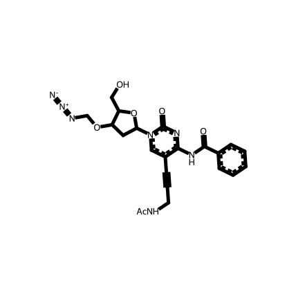 CC(=O)NCC#Cc1cn(C2CC(OCN=[N+]=[N-])C(CO)O2)c(=O)nc1NC(=O)c1ccccc1